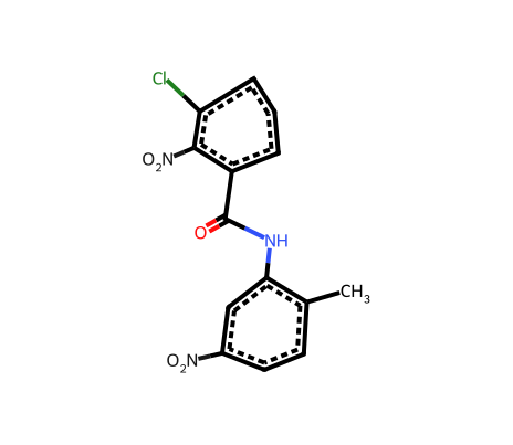 Cc1ccc([N+](=O)[O-])cc1NC(=O)c1cccc(Cl)c1[N+](=O)[O-]